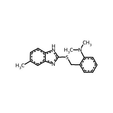 Cc1ccc2[nH]c(SCc3ccccc3N(C)C)nc2c1